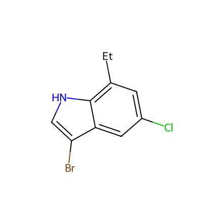 CCc1cc(Cl)cc2c(Br)c[nH]c12